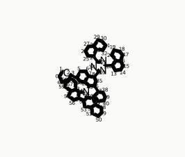 c1ccc(-c2ccc3c(-c4nc(-c5cccc6ccccc56)nc(-c5cccc6ccccc56)n4)cc(-c4ccccc4)c(-n4c5cc6ccccc6cc5c5ccc6ccccc6c54)c3c2)cc1